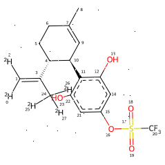 [2H]C([2H])=C([C@@H]1CCC(C)=C[C@H]1c1c(O)cc(OS(=O)(=O)C(F)(F)F)cc1O)C([2H])([2H])[2H]